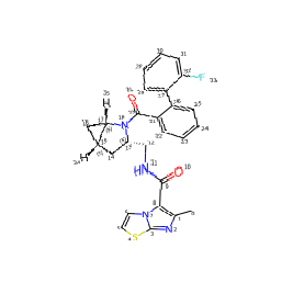 Cc1nc2sccn2c1C(=O)NC[C@@H]1C[C@@H]2C[C@@H]2N1C(=O)c1ccccc1-c1ccccc1F